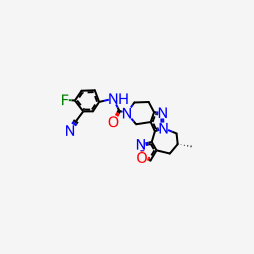 C[C@@H]1Cc2conc2-c2c3c(nn2C1)CCN(C(=O)Nc1ccc(F)c(C#N)c1)C3